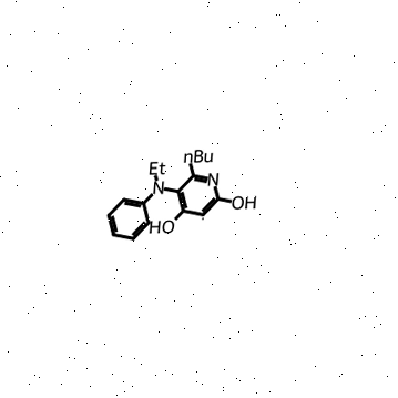 CCCCc1nc(O)[c]c(O)c1N(CC)c1ccccc1